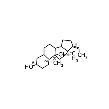 C/C=C1/CCC2C3CCC4C[C@H](O)CC[C@]4(C)[C@@]3(O)CC[C@]12C